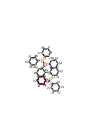 c1ccc(P(Oc2ccc3ccccc3c2-c2c(P(c3ccccc3)c3ccccc3)ccc3ccccc23)c2ccccc2)cc1